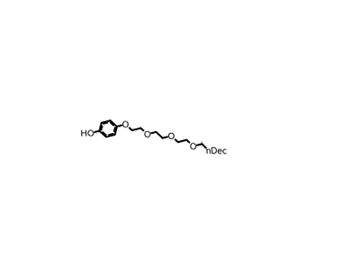 CCCCCCCCCC[CH]OCCOCCOCCOc1ccc(O)cc1